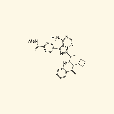 C=C(NC)c1ccc(-c2nn(C(C)C3=Nc4ccccc4C(=C)N3C3CCC3)c3ncnc(N)c23)cc1